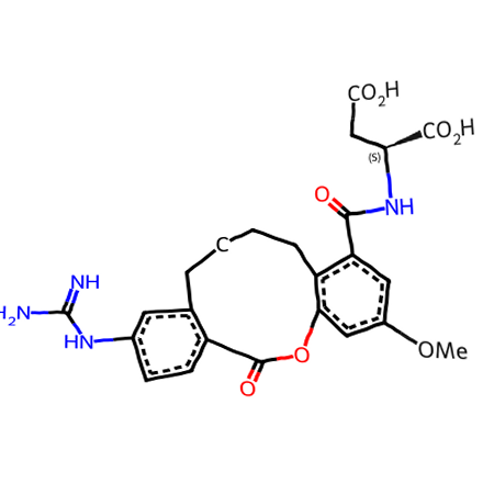 COc1cc2c(c(C(=O)N[C@@H](CC(=O)O)C(=O)O)c1)CCCCc1cc(NC(=N)N)ccc1C(=O)O2